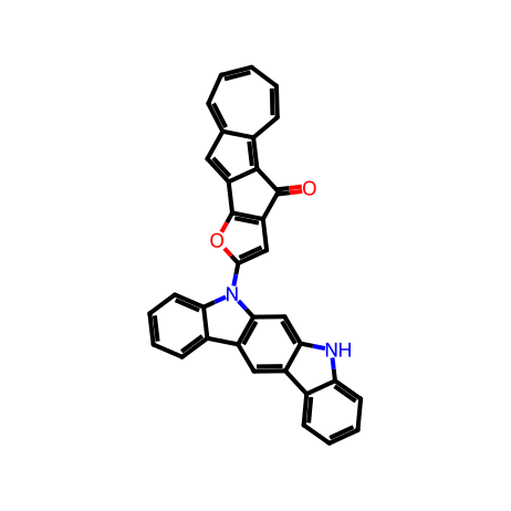 O=C1c2cc(-n3c4ccccc4c4cc5c(cc43)[nH]c3ccccc35)oc2-c2cc3cccccc-3c21